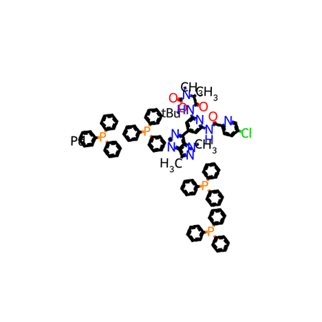 Cc1nn(C)c2c(-c3cc(NC(=O)c4ccc(Cl)cn4)nc(NC(=O)C(C)N(C)C(=O)OC(C)(C)C)c3)ncnc12.[Pd].c1ccc(P(c2ccccc2)c2ccccc2)cc1.c1ccc(P(c2ccccc2)c2ccccc2)cc1.c1ccc(P(c2ccccc2)c2ccccc2)cc1.c1ccc(P(c2ccccc2)c2ccccc2)cc1